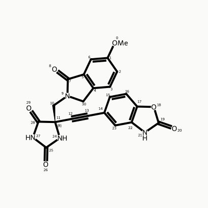 COc1ccc2c(c1)C(=O)N(C[C@@]1(C#Cc3ccc4oc(=O)[nH]c4c3)NC(=O)NC1=O)C2